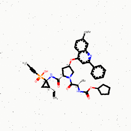 C=C[C@@H]1C[C@]1(NC(=O)[C@@H]1C[C@@H](Oc2cc(-c3ccccc3)nc3cc(OC)ccc23)CN1C(=O)[C@@H](NC(=O)OC1CCCC1)C(C)(C)C)P(=O)(O)C#CC